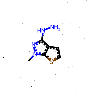 Cn1nc(NN)c2ccsc21